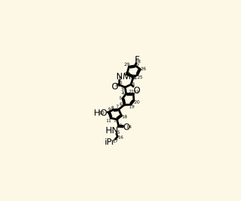 CNC(=O)C1c2cc(-c3cc(O)cc(C(=O)NCC(C)C)c3)ccc2OC1c1ccc(F)cc1